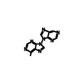 Cc1ncnc2c1ncn2-n1cnc2cncnc21